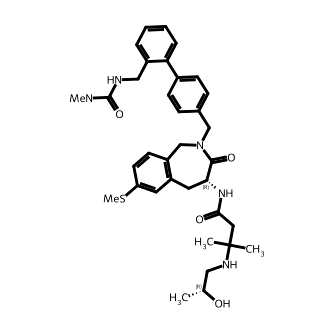 CNC(=O)NCc1ccccc1-c1ccc(CN2Cc3ccc(SC)cc3C[C@@H](NC(=O)CC(C)(C)NC[C@@H](C)O)C2=O)cc1